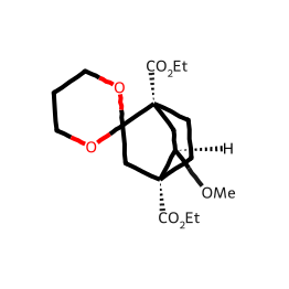 CCOC(=O)[C@@]12CC[C@@](C(=O)OCC)(C[C@H]1OC)C1(C2)OCCCO1